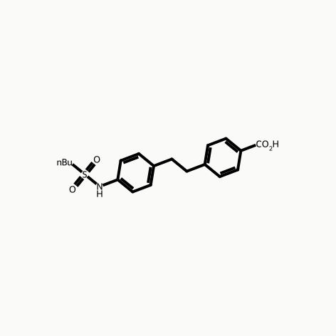 CCCCS(=O)(=O)Nc1ccc(CCc2ccc(C(=O)O)cc2)cc1